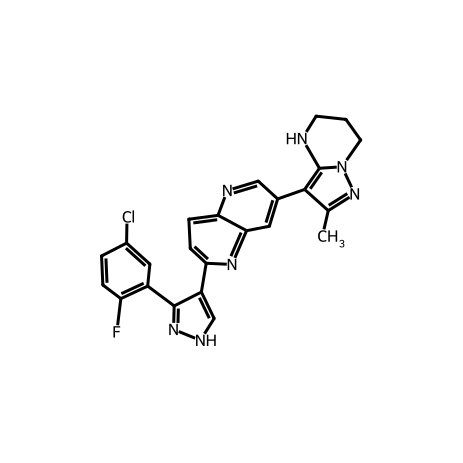 Cc1nn2c(c1-c1cnc3ccc(-c4c[nH]nc4-c4cc(Cl)ccc4F)nc3c1)NCCC2